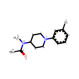 CCc1cccc(N2CCC(N(C)C(=O)C(C)(C)C)CC2)c1